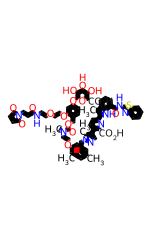 Cc1c(-c2ccc(-c3cnn(CC45CC6(C)CC(C)(C4)CC(OCCN(C)C(=O)OCc4ccc(O[C@@H]7O[C@H](C(=O)O)[C@@H](O)[C@H](O)[C@H]7O)cc4OCCOCCNC(=O)CCN4C(=O)C=CC4=O)(C6)C5)c3C)c(C(=O)O)n2)[nH]c2c(C(=O)Nc3nc4ccccc4s3)cccc12